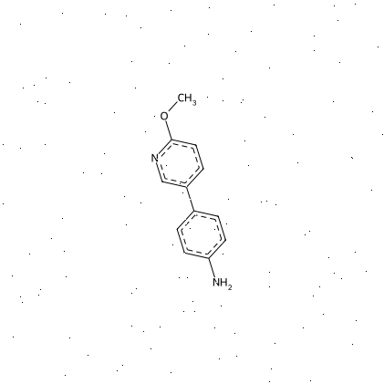 COc1ccc(-c2ccc(N)cc2)cn1